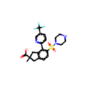 CC1(C(=O)O)Cc2ccc(S(=O)(=O)N3CCNCC3)c(-c3ccc(C(F)(F)F)cn3)c2C1